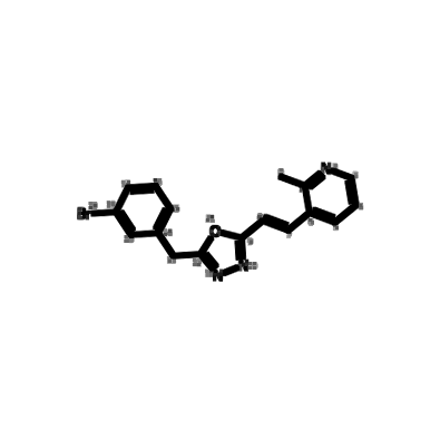 Cc1ncccc1C=Cc1nnc(Cc2cccc(Br)c2)o1